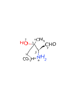 CC(O)(CC(=O)O)[C@H](N)C=O